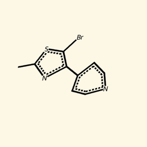 Cc1nc(-c2ccncc2)c(Br)s1